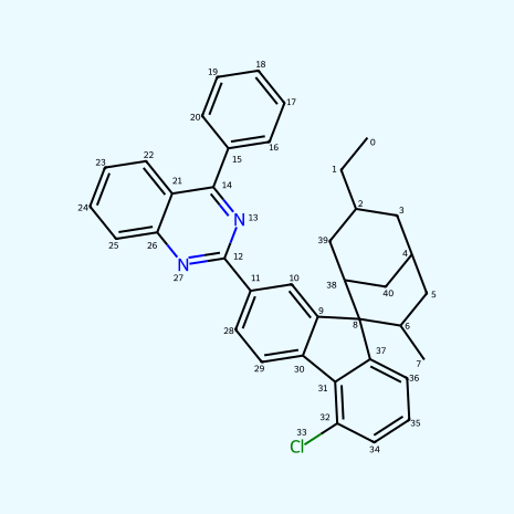 CCC1CC2CC(C)C3(c4cc(-c5nc(-c6ccccc6)c6ccccc6n5)ccc4-c4c(Cl)cccc43)C(C1)C2